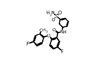 Cc1cc(F)ccc1Oc1ccc(F)cc1C(=O)NC1C=CC=C(S(N)(=O)=O)C1